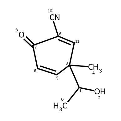 CC(O)C1(C)C=CC(=O)C(C#N)=C1